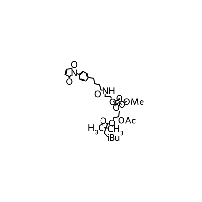 CCC(C)CC(C)(C)C(=O)OCC(COP(=O)(OCCNC(=O)CCCc1ccc(N2C(=O)C=CC2=O)cc1)OOC)OC(C)=O